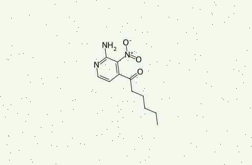 CCCCCC(=O)c1ccnc(N)c1[N+](=O)[O-]